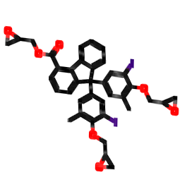 Cc1cc(C2(c3cc(C)c(OCC4CO4)c(I)c3)c3ccccc3-c3c(C(=O)OCC4CO4)cccc32)cc(I)c1OCC1CO1